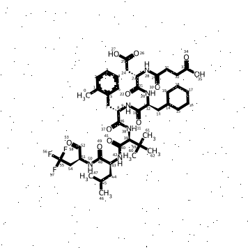 Cc1ccccc1C[C@H](NC(=O)[C@H](CC1CCCCC1)NC(=O)[C@H](CC(=O)O)NC(=O)CCC(=O)O)C(=O)N[C@H](C(=O)N[C@@H](CC(C)C)C(=O)N[C@H](C=O)CC(F)(F)F)C(C)(C)C